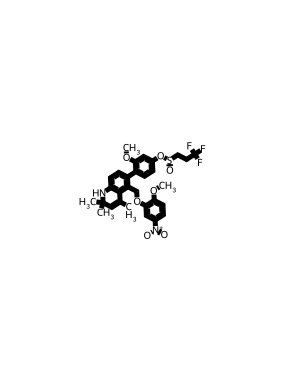 COc1ccc([N+](=O)[O-])cc1OCc1c(-c2ccc(OS(=O)CCC(F)(F)F)cc2OC)ccc2c1C(C)=CC(C)(C)N2